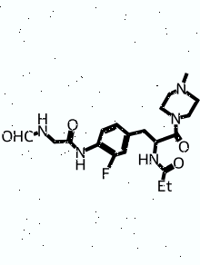 CCC(=O)NC(Cc1ccc(NC(=O)CNC=O)c(F)c1)C(=O)N1CCN(C)CC1